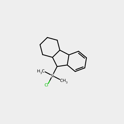 C[Si](C)(Cl)C1C2C=CC=CC2C2CCCCC21